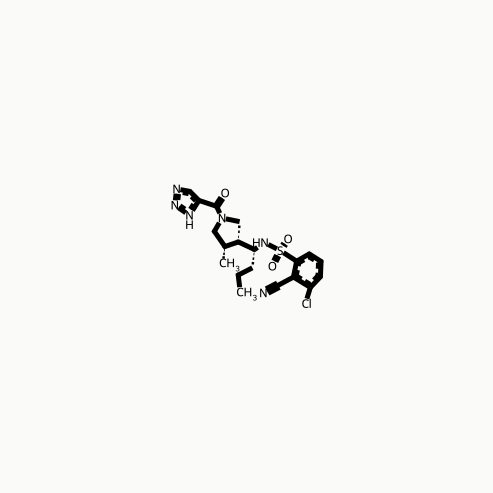 CCC[C@@H](NS(=O)(=O)c1cccc(Cl)c1C#N)[C@H]1CN(C(=O)c2cnn[nH]2)C[C@H]1C